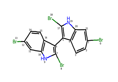 Brc1ccc2c(-c3c(Br)[nH]c4cc(Br)ccc34)c(Br)[nH]c2c1